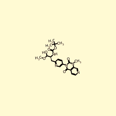 COC(O)[C@H](Cc1ccc(-n2c(=O)c3ccncc3n(C)c2=O)cn1)NC(=O)OC(C)(C)C